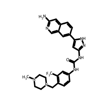 CN1CCN(Cc2ccc(NC(=O)Nc3cc(-c4ccc5cc(N)ncc5c4)[nH]n3)cc2C(F)(F)F)CC1